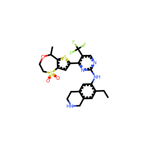 CCc1cc2c(cc1Nc1ncc(C(F)(F)F)c(-c3cc4c(s3)C(C)OCCS4(=O)=O)n1)CCNC2